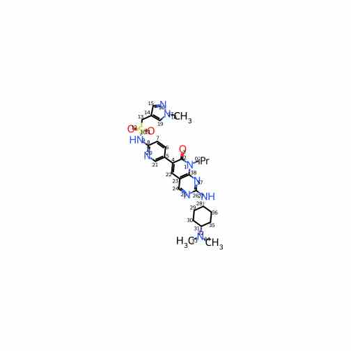 CC(C)n1c(=O)c(-c2ccc(NS(=O)(=O)Cc3cnn(C)c3)nc2)cc2cnc(N[C@H]3CC[C@H](N(C)C)CC3)nc21